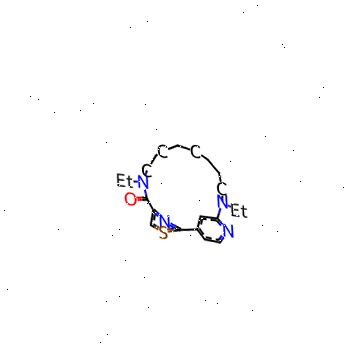 CCN1CCCCCCCCN(CC)c2cc(ccn2)-c2nc(cs2)C1=O